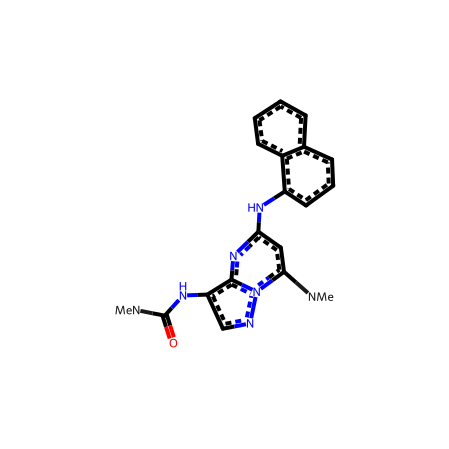 CNC(=O)Nc1cnn2c(NC)cc(Nc3cccc4ccccc34)nc12